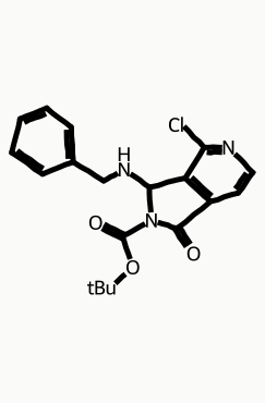 CC(C)(C)OC(=O)N1C(=O)c2ccnc(Cl)c2C1NCc1ccccc1